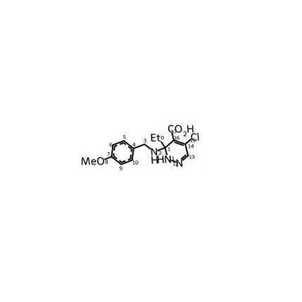 CCC1(NCc2ccc(OC)cc2)NN=CC(Cl)=C1C(=O)O